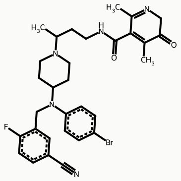 CC1=NCC(=O)C(C)=C1C(=O)NCCC(C)N1CCC(N(Cc2cc(C#N)ccc2F)c2ccc(Br)cc2)CC1